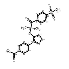 CC(C)(Sc1nnnn1-c1ccc(C(=O)O)cc1)C(=O)c1ccc(S(C)(=O)=O)cc1